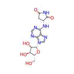 O=C1C[C@@H](Nc2ncnc3c2ncn3[C@@H]2O[C@H](CO)[C@@H](O)[C@H]2O)C(=O)N1